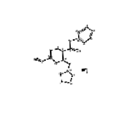 Cl.O=CN1CCN(C(=O)Cc2ccccn2)C(CN2CCCC2)C1